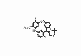 COc1cc(F)c([N+](=O)[O-])cc1Nc1ncc(F)c(-c2c3n(c4ccccc24)C(C)(C)COC3)n1